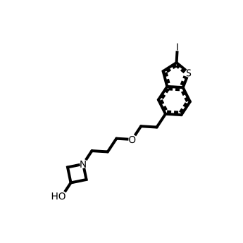 OC1CN(CCCOCCc2ccc3sc(I)cc3c2)C1